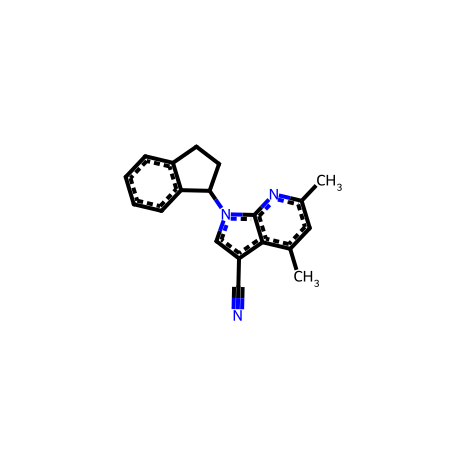 Cc1cc(C)c2c(C#N)cn(C3CCc4ccccc43)c2n1